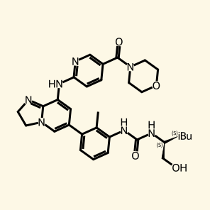 CC[C@H](C)[C@@H](CO)NC(=O)Nc1cccc(C2=CN3CCN=C3C(Nc3ccc(C(=O)N4CCOCC4)cn3)=C2)c1C